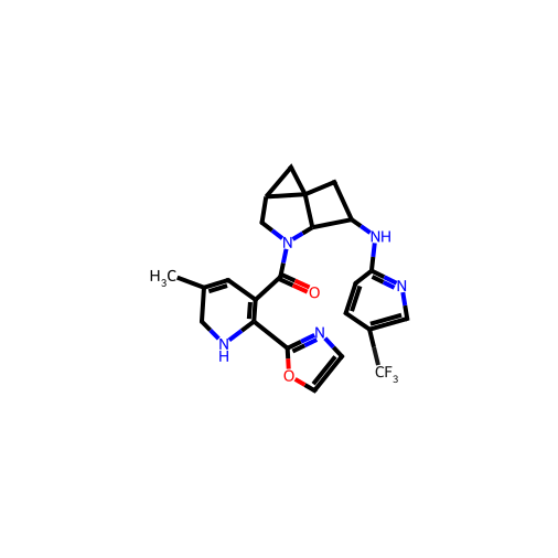 CC1=CC(C(=O)N2CC3CC34CC(Nc3ccc(C(F)(F)F)cn3)C24)=C(c2ncco2)NC1